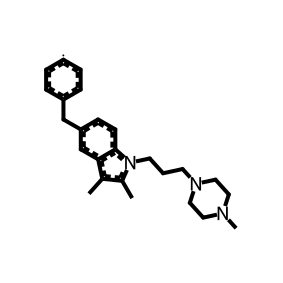 Cc1c(C)n(CCCN2CCN(C)CC2)c2ccc(Cc3cc[c]cc3)cc12